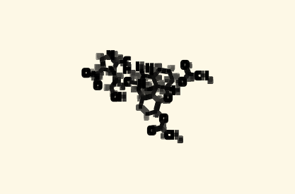 CC(=O)Oc1ccc2c3c1O[C@H]1[C@@H](OC(C)=O)C=C[C@H]4[C@@H](C2)N(C)CC[C@@]341.Cc1ncc([N+](=O)[O-])n1CCO